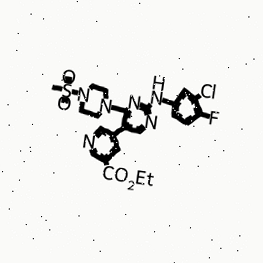 CCOC(=O)c1cncc(-c2cnc(Nc3ccc(F)c(Cl)c3)nc2N2CCN(S(C)(=O)=O)CC2)c1